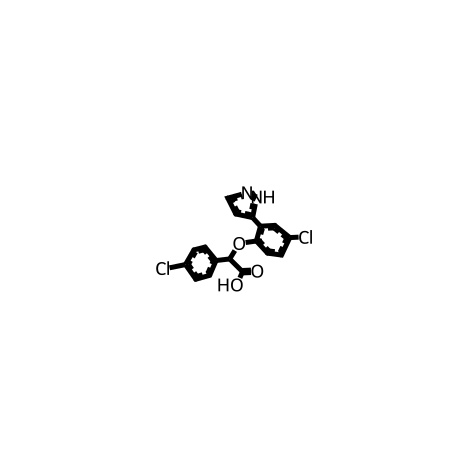 O=C(O)C(Oc1ccc(Cl)cc1-c1ccn[nH]1)c1ccc(Cl)cc1